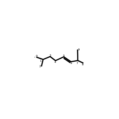 [CH2]C(C)CCC=CC(C)C